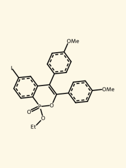 CCOP1(=O)OC(c2ccc(OC)cc2)=C(c2ccc(OC)cc2)c2cc(I)ccc21